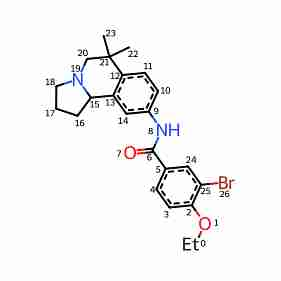 CCOc1ccc(C(=O)Nc2ccc3c(c2)C2CCCN2CC3(C)C)cc1Br